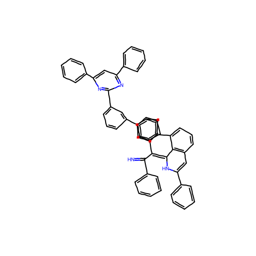 N=C(/C(=C1\NC(c2ccccc2)=Cc2cccc(-c3ccc(-c4cccc(-c5nc(-c6ccccc6)cc(-c6ccccc6)n5)c4)cc3)c21)c1ccccc1)c1ccccc1